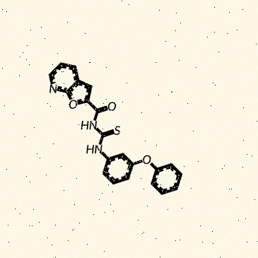 O=C(NC(=S)Nc1cccc(Oc2ccccc2)c1)c1cc2cccnc2o1